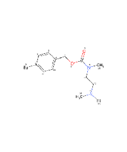 CCC(C)c1ccc(COC(=O)N(C)CCN(C)CC)cc1